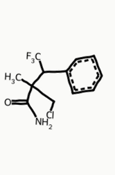 CC(CCl)(C(N)=O)C(c1ccccc1)C(F)(F)F